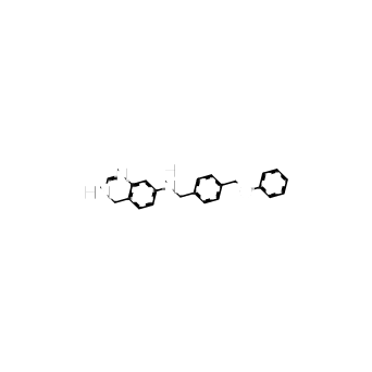 C1=Nc2cc(NCc3ccc(COc4ccccc4)cc3)ccc2CN1